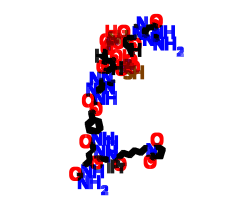 CC(C)[C@H](NC(=O)CCCCCN1C(=O)C=CC1=O)C(=O)N[C@@H](CCCNC(N)=O)C(=O)Nc1ccc(COC(=O)Nc2ncnc3c2ncn3[C@@H]2O[C@@H]3COP(=O)(S)OC4[C@@H](COP(=O)(S)O[C@H]2C3O)O[C@@H](n2cnc3c(=O)[nH]c(N)nc32)[C@H]4O)cc1